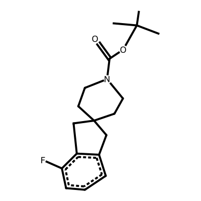 CC(C)(C)OC(=O)N1CCC2(CC1)Cc1cccc(F)c1C2